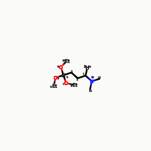 [2H]C(CC[Si](OCC)(OCC)OCC)N(C)C